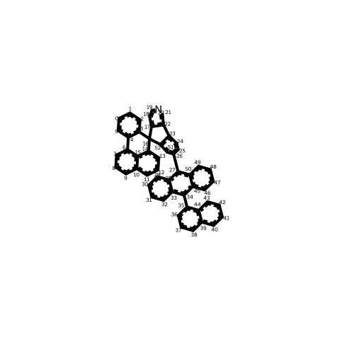 c1ccc2c(c1)-c1cccc3cccc(c13)C21c2ccncc2-c2ccc(-c3c4ccccc4c(-c4cccc5ccccc45)c4ccccc34)cc21